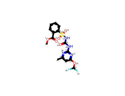 COC(=O)c1ccccc1S(=O)(=O)NC(=O)Nc1nc(C)cc(OC(F)F)n1